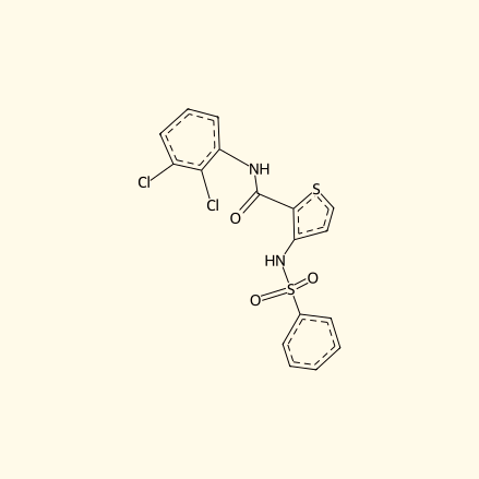 O=C(Nc1cccc(Cl)c1Cl)c1sccc1NS(=O)(=O)c1ccccc1